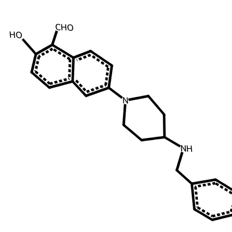 O=Cc1c(O)ccc2cc(N3CCC(NCc4ccccc4)CC3)ccc12